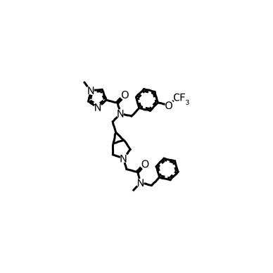 CN(Cc1ccccc1)C(=O)CN1CC2C(C1)C2CN(Cc1cccc(OC(F)(F)F)c1)C(=O)c1cn(C)cn1